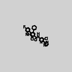 Nc1cc(F)ccc1-c1cc(Cl)c(C(=O)Nc2cnc(-n3nccn3)c(Cl)c2)cc1C1=CCCCC1